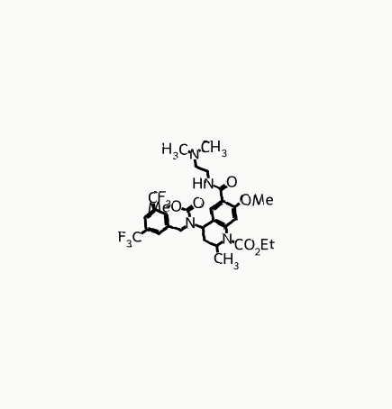 CCOC(=O)N1c2cc(OC)c(C(=O)NCCN(C)C)cc2C(N(Cc2cc(C(F)(F)F)cc(C(F)(F)F)c2)C(=O)OC)CC1C